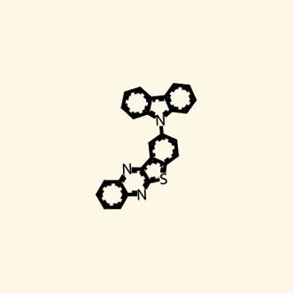 c1ccc2nc3c(nc2c1)sc1ccc(-n2c4ccccc4c4ccccc42)cc13